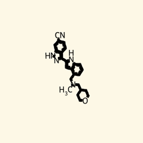 CN(Cc1cccc2[nH]c(-c3n[nH]c4cc(C#N)ccc34)cc12)CC1CCOCC1